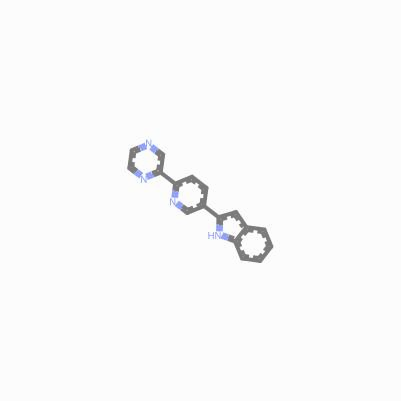 c1ccc2[nH]c(-c3ccc(-c4cnccn4)nc3)cc2c1